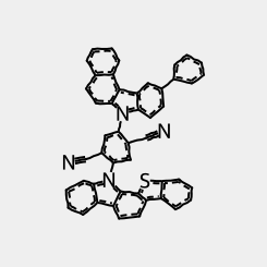 N#Cc1cc(-n2c3ccccc3c3ccc4c5ccccc5sc4c32)c(C#N)cc1-n1c2ccc(-c3ccccc3)cc2c2c3ccccc3ccc21